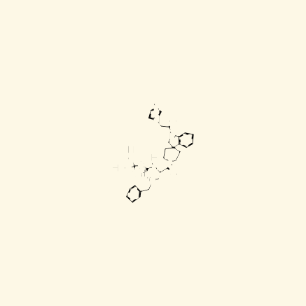 CC(C)(C)OC(=O)N[C@H](COCc1ccccc1)C(=O)N1CCC2(CC1)CN(C(=O)Cn1ccnc1)c1ccccc12